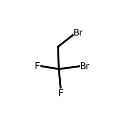 FC(F)(Br)CBr